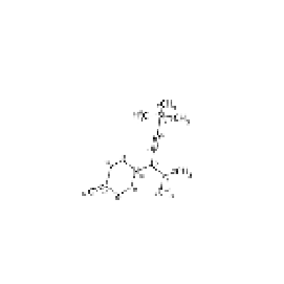 CC(C)C(C#C[Si](C)(C)C)N1CCC(=O)CC1